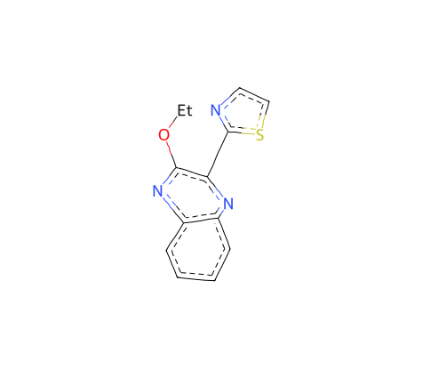 CCOc1nc2ccccc2nc1-c1nccs1